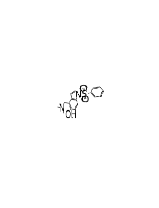 CN(C)Cc1c(O)ccc2c1ccn2S(=O)(=O)c1ccccc1